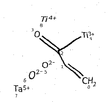 C=C[C](=O)[Ti+3].[O-2].[O-2].[Ta+5].[Ti+4]